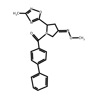 CON=C1CC(c2nc(C)no2)N(C(=O)c2ccc(-c3ccccc3)cc2)C1